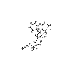 CC1(C(=O)CC#N)CCC(O[Si](c2ccccc2)(c2ccccc2)C(C)(C)C)C1